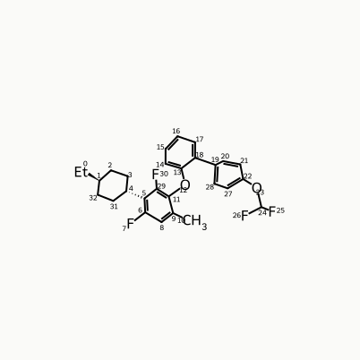 CC[C@H]1CC[C@H](c2c(F)cc(C)c(Oc3ccccc3-c3ccc(OC(F)F)cc3)c2F)CC1